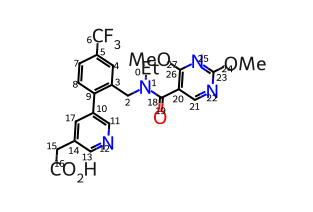 CCN(Cc1cc(C(F)(F)F)ccc1-c1cncc(CC(=O)O)c1)C(=O)c1cnc(OC)nc1OC